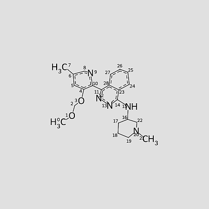 COCOc1cc(C)cnc1-c1nnc(NC2CCCN(C)C2)c2ccccc12